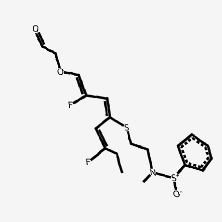 CC\C(F)=C/C(=C\C(F)=C\OCC=O)SCCN(C)[S+]([O-])c1ccccc1